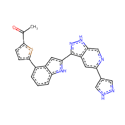 CC(=O)c1ccc(-c2cccc3[nH]c(-c4n[nH]c5cnc(-c6cn[nH]c6)cc45)cc23)s1